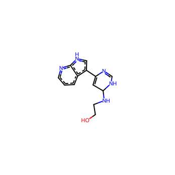 OCCNC1C=C(c2c[nH]c3ncccc23)N=CN1